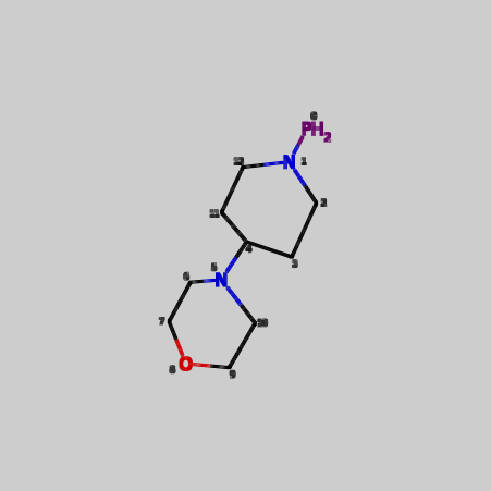 PN1CCC(N2CCOCC2)CC1